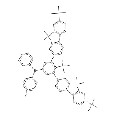 Cc1ccc(N(c2ccccc2)c2cc(-c3ccc4c(c3)C(C)(C)c3cc(C(C)(C)C)ccc3-4)c(C(C)(C)C)c(-c3ccc4c(c3)C(C)(C)c3cc(C(C)(C)C)ccc3-4)c2)cc1